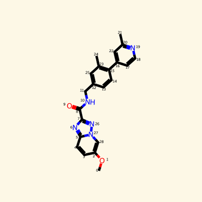 COc1ccc2nc(C(=O)NCc3ccc(-c4ccnc(C)c4)c(C)c3)nn2c1